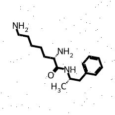 C[C@@H](Cc1ccccc1)NC(=O)[C@@H](N)CCCCCN